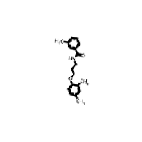 Cc1cccc(C(=O)NCCCOc2ccc(C)cc2C)c1